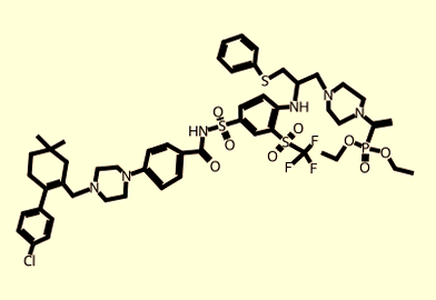 C=C(N1CCN(CC(CSc2ccccc2)Nc2ccc(S(=O)(=O)NC(=O)c3ccc(N4CCN(CC5=C(c6ccc(Cl)cc6)CCC(C)(C)C5)CC4)cc3)cc2S(=O)(=O)C(F)(F)F)CC1)P(=O)(OCC)OCC